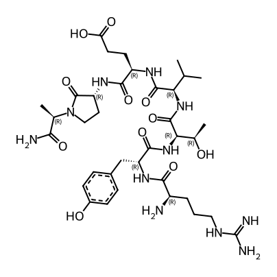 CC(C)[C@@H](NC(=O)[C@H](NC(=O)[C@@H](Cc1ccc(O)cc1)NC(=O)[C@H](N)CCCNC(=N)N)[C@@H](C)O)C(=O)N[C@H](CCC(=O)O)C(=O)N[C@@H]1CCN([C@H](C)C(N)=O)C1=O